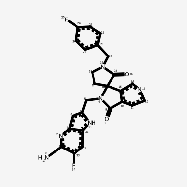 Nc1nc2cc(CN3C(=O)c4ccncc4C34CCN(Cc3ccc(F)cc3)C4=O)[nH]c2cc1F